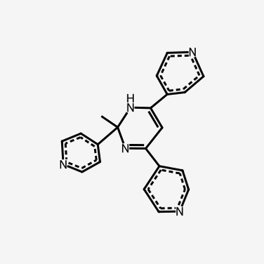 CC1(c2ccncc2)N=C(c2ccncc2)C=C(c2ccncc2)N1